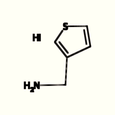 I.NCc1ccsc1